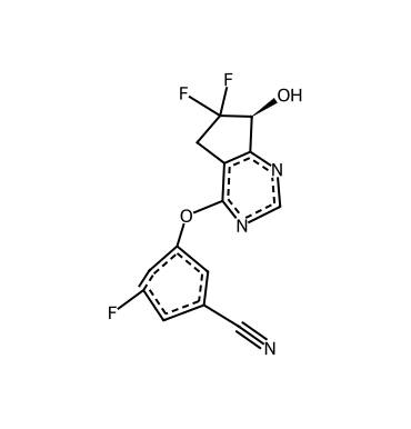 N#Cc1cc(F)cc(Oc2ncnc3c2CC(F)(F)[C@H]3O)c1